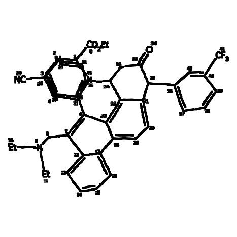 CCOC(=O)c1nccc(-c2c(CN(CC)CC)c3ccccc3c3ccc4c(c23)C(c2ccc(C#N)cc2)CC(=O)C4c2cccc(C(F)(F)F)c2)n1